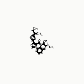 COCC(C)n1c(=O)c2c(-c3noc(C(C)CO)n3)ncn2c2cccc(F)c21